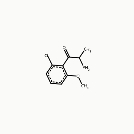 COc1cccc(Cl)c1C(=O)C(C)P